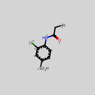 CC(=O)CC(=O)Nc1ccc(S(=O)(=O)O)cc1Cl